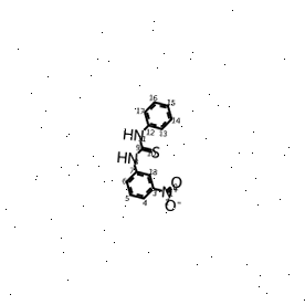 O=[N+]([O-])c1cccc(NC(=S)Nc2ccccc2)c1